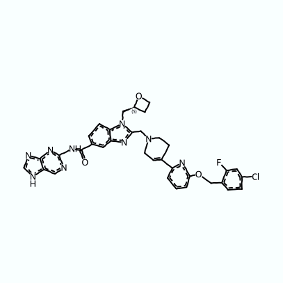 O=C(Nc1ncc2[nH]cnc2n1)c1ccc2c(c1)nc(CN1CC=C(c3cccc(OCc4ccc(Cl)cc4F)n3)CC1)n2C[C@@H]1CCO1